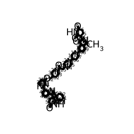 Cc1nn(C2CCC(=O)NC2=O)c(=O)c2cc(N3CCC(N4CCN(CC(=O)N5CCC(COc6ccnc(-c7cccc(CC8(C9(C#N)C=CC=CC9)C=CC(=O)NN8)c7)n6)CC5)CC4)CC3)ccc12